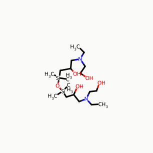 CCN(CCO)CC(O)C[Si](C)(C)O[Si](C)(C)CC(O)CN(CC)CCO